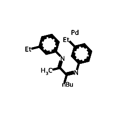 CCCCC(=Nc1cccc(CC)c1)C(C)=Nc1cccc(CC)c1.[Pd]